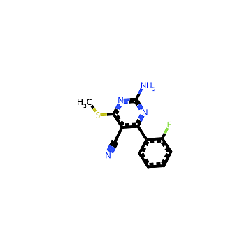 CSc1nc(N)nc(-c2ccccc2F)c1C#N